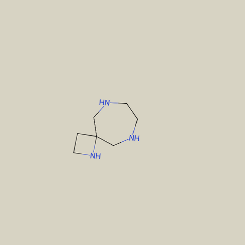 C1CNCC2(CCN2)CN1